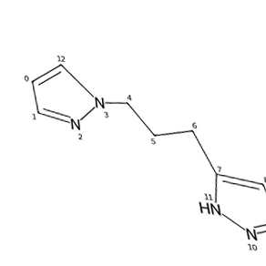 c1cnn(CCCc2ccn[nH]2)c1